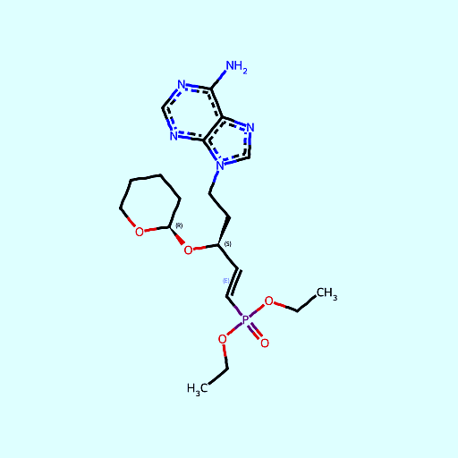 CCOP(=O)(/C=C/[C@H](CCn1cnc2c(N)ncnc21)O[C@@H]1CCCCO1)OCC